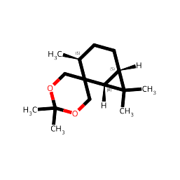 C[C@H]1CC[C@H]2[C@H](C2(C)C)C12COC(C)(C)OC2